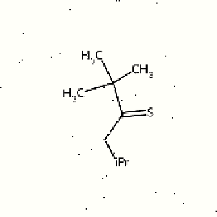 CC(C)CC(=S)C(C)(C)C